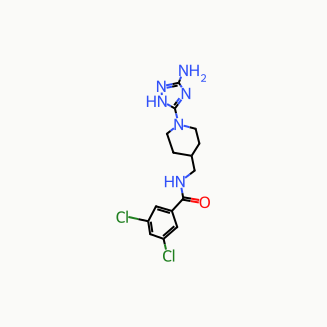 Nc1n[nH]c(N2CCC(CNC(=O)c3cc(Cl)cc(Cl)c3)CC2)n1